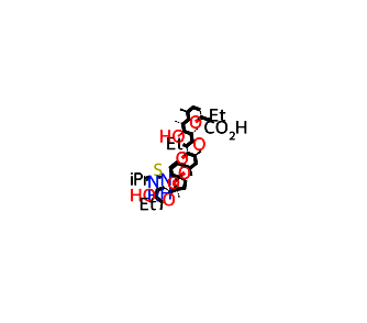 CCC(C(=O)[C@@H](C)[C@@H](O)[C@H](C)[C@@H]1O[C@@H]([C@@H](CC)C(=O)O)CC[C@@H]1C)[C@H]1O[C@]2(C=C[C@@H](NC(=S)NC(C)C)[C@]3(CC[C@@](C)([C@H]4CC[C@](O)(CC)[C@H](C)O4)O3)O2)[C@H](C)C[C@@H]1C